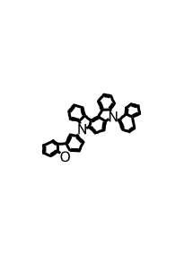 c1ccc2c(-n3c4ccccc4c4c5c6ccccc6n(-c6ccc7oc8ccccc8c7c6)c5ccc43)cccc2c1